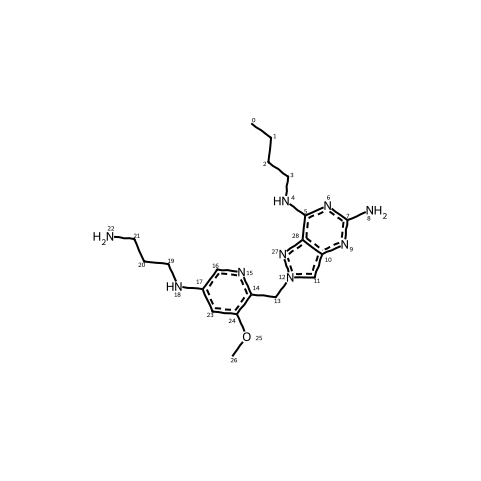 CCCCNc1nc(N)nc2cn(Cc3ncc(NCCCN)cc3OC)nc12